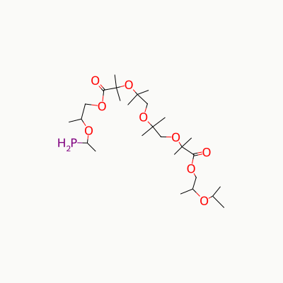 CC(C)OC(C)COC(=O)C(C)(C)OCC(C)(C)OCC(C)(C)OC(C)(C)C(=O)OCC(C)OC(C)P